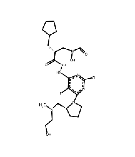 CN(CCO)C[C@@H]1CCCN1c1nc(Cl)nc(NNC(=O)[C@H](CC2CCCC2)CN(O)C=O)c1F